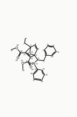 CCC12C=CC(C(Cc3ccccc3)Nc3ccccc3)(O1)C(C(=O)OC)=C2C(=O)OC